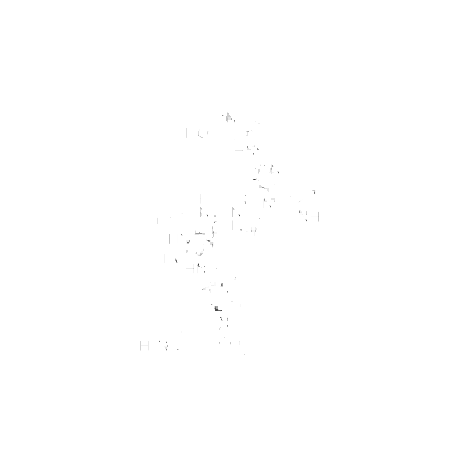 CC(C)C[C@H](NC(=O)CNC(=O)[C@H](CC(C)C)NC(=O)[C@H](CCC(N)=O)NC(=O)CNC(=O)[C@@H]1C[C@H](O)CN1)C(=O)N[C@@H](C)C(=O)NCC(=O)N1CCC[C@H]1C(=O)N[C@@H](CCCCN)C(=O)O